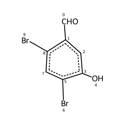 O=Cc1cc(O)c(Br)cc1Br